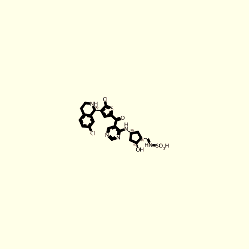 O=C(c1cc([C@@H]2NCCc3ccc(Cl)cc32)c(Cl)s1)c1cncnc1N[C@@H]1C[C@H](CNS(=O)(=O)O)[C@@H](O)C1